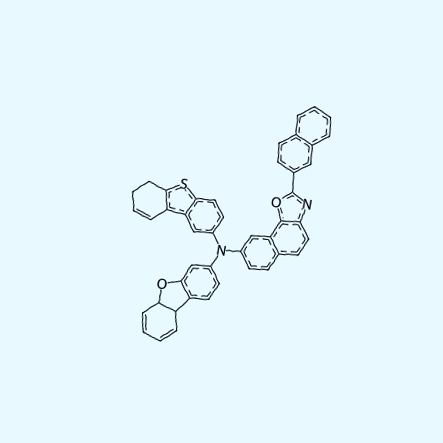 C1=CC2Oc3cc(N(c4ccc5sc6c(c5c4)C=CCC6)c4ccc5ccc6nc(-c7ccc8ccccc8c7)oc6c5c4)ccc3C2C=C1